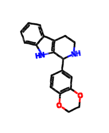 c1ccc2c3c([nH]c2c1)C(c1ccc2c(c1)OCCO2)NCC3